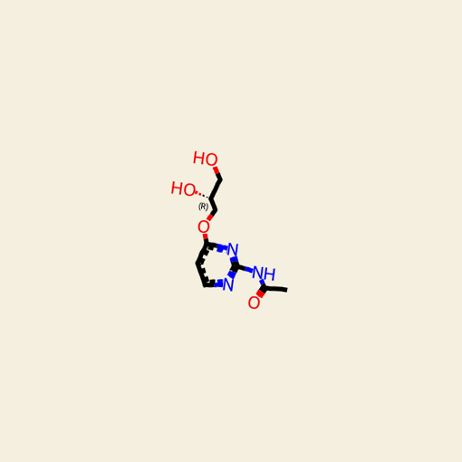 CC(=O)Nc1nccc(OC[C@H](O)CO)n1